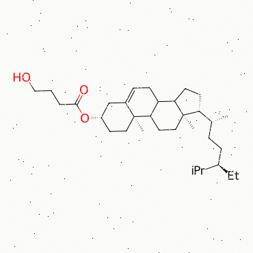 CC[C@H](CC[C@@H](C)[C@H]1CCC2C3CC=C4C[C@@H](OC(=O)CCCO)CC[C@]4(C)C3CC[C@@]21C)C(C)C